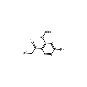 CCCCOc1cc(F)ccc1C(=O)CBr